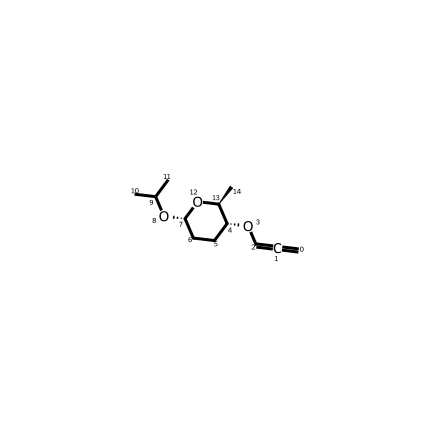 C=C=CO[C@@H]1CC[C@H](OC(C)C)O[C@H]1C